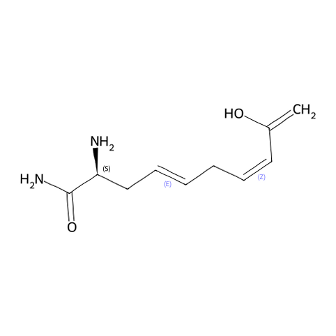 C=C(O)/C=C\C/C=C/C[C@H](N)C(N)=O